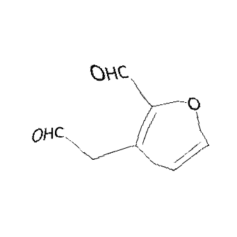 O=CCc1ccoc1C=O